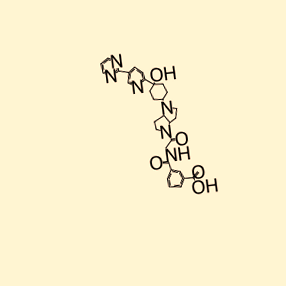 O=C(O)c1cccc(C(=O)NCC(=O)N2CCC3C2CCN3[C@H]2CC[C@@](O)(c3ccc(-c4ncccn4)cn3)CC2)c1